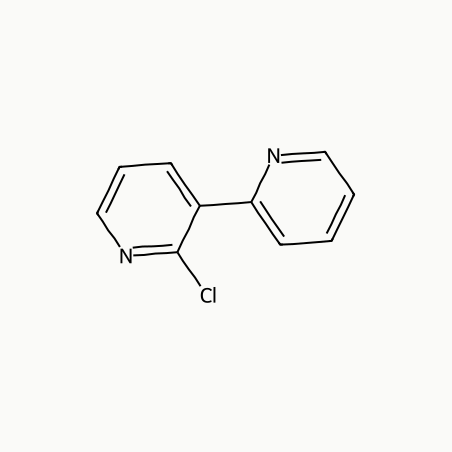 Clc1ncccc1-c1ccccn1